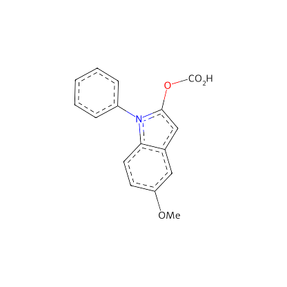 COc1ccc2c(c1)cc(OC(=O)O)n2-c1ccccc1